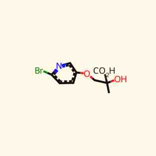 CC(O)(COc1ccc(Br)nc1)C(=O)O